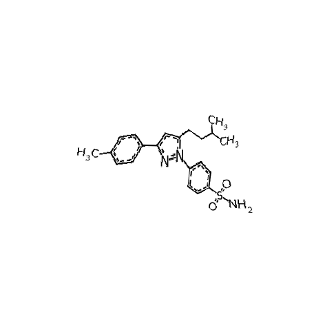 Cc1ccc(-c2cc(CCC(C)C)n(-c3ccc(S(N)(=O)=O)cc3)n2)cc1